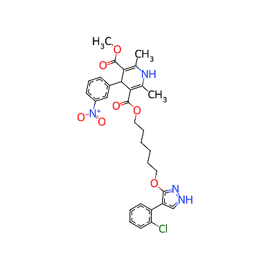 COC(=O)C1=C(C)NC(C)=C(C(=O)OCCCCCCOc2n[nH]cc2-c2ccccc2Cl)C1c1cccc([N+](=O)[O-])c1